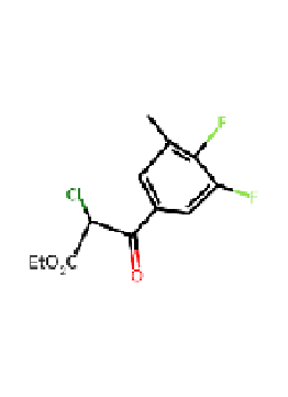 CCOC(=O)C(Cl)C(=O)c1cc(C)c(F)c(F)c1